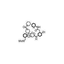 CCc1ccc(NC(=O)CN(Cc2ccccc2CNC)C(=O)C2(CC)CCN(C(=O)N3CCCCC3)CC2)cc1CC(=O)Nc1ccccn1